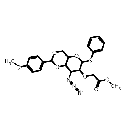 COC(=O)COC1C(Sc2ccccc2)OC2COC(c3ccc(OC)cc3)OC2C1N=[N+]=[N-]